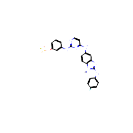 CN(c1ccc2c(c1)nc(Nc1ccc(F)cc1)n2C)c1ccnc(Nc2cccc(OS(C)(=O)=O)c2)n1